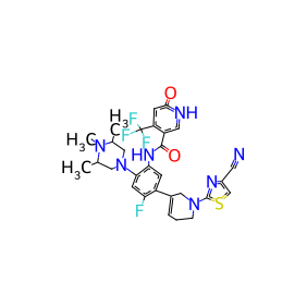 CC1CN(c2cc(F)c(C3=CCCN(c4nc(C#N)cs4)C3)cc2NC(=O)c2c[nH]c(=O)cc2C(F)(F)F)CC(C)N1C